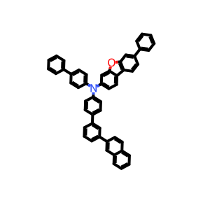 c1ccc(-c2ccc(N(c3ccc(-c4cccc(-c5ccc6ccccc6c5)c4)cc3)c3ccc4c(c3)oc3cc(-c5ccccc5)ccc34)cc2)cc1